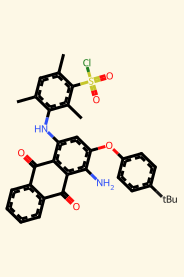 Cc1cc(C)c(S(=O)(=O)Cl)c(C)c1Nc1cc(Oc2ccc(C(C)(C)C)cc2)c(N)c2c1C(=O)c1ccccc1C2=O